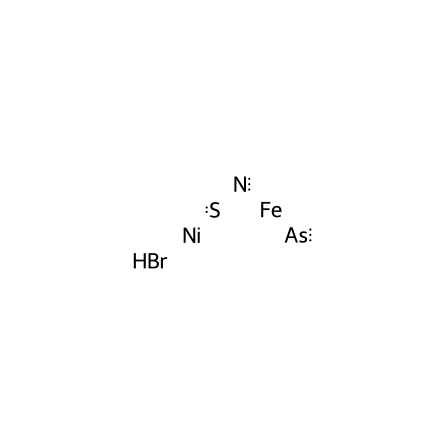 Br.[As].[Fe].[N].[Ni].[S]